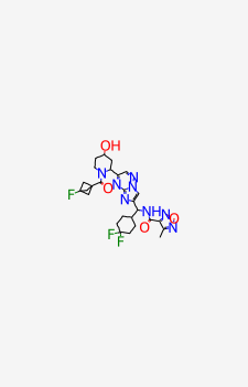 Cc1nonc1C(=O)NC(c1cn2ncc(C3CC(O)CCN3C(=O)C34CC(F)(C3)C4)nc2n1)C1CCC(F)(F)CC1